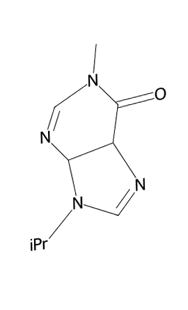 CC(C)N1C=NC2C(=O)N(C)C=NC21